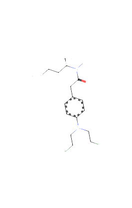 CC(C)(C)N(C(=O)Cc1ccc(N(CCCl)CCCl)cc1)[C@@H](CCC(=O)O)C(=O)O